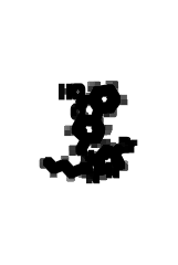 CCCCc1nc2ncc(Br)cc2n1Cc1ccc(-c2ccccc2C(=O)O)cc1